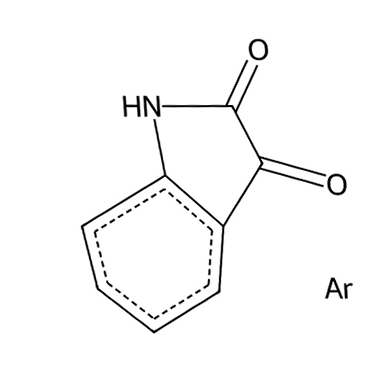 O=C1Nc2ccccc2C1=O.[Ar]